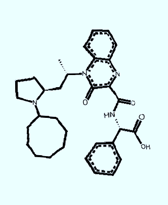 C[C@@H](C[C@@H]1CCCN1C1CCCCCCC1)n1c(=O)c(C(=O)N[C@H](C(=O)O)c2ccccc2)nc2ccccc21